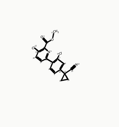 COC(=O)c1nc(-c2ccc(C3(C#N)CC3)cc2Cl)ccc1Cl